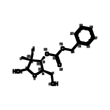 C[C@]1(F)C(O)O[C@H](CO)[C@H]1OC(=O)OCc1ccccc1